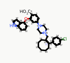 O=C(O)c1ccc(N2CCN(C/C3=C(\c4ccc(Cl)cc4)CCCCCC3)CC2)cc1Oc1cccc2[nH]ccc12